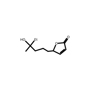 CCC(C)(O)CCCC1C=CC(=O)O1